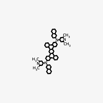 Cc1cc(N(c2ccc3ccccc3c2)c2ccc3c(c2)c2ccccc2c2cc4c5ccc(N(c6cc(C)nc(C)c6)c6ccc7ccccc7c6)cc5c5ccccc5c4cc32)cc(C)n1